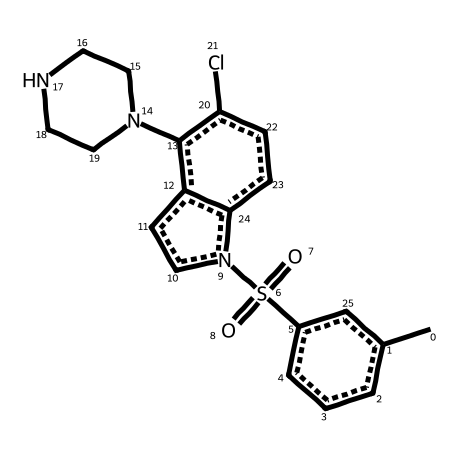 Cc1cccc(S(=O)(=O)n2ccc3c(N4CCNCC4)c(Cl)ccc32)c1